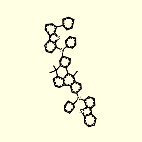 Cc1c2c3c(cccc3c3cc(N(c4ccccc4)c4cccc5c4sc4ccccc45)ccc13)C(C)(C)c1cc(N(c3ccccc3)c3cccc4c3sc3c(-c5ccccc5)cccc34)ccc1-2